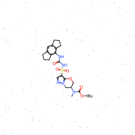 CN(C(=O)OC(C)(C)C)[C@@H]1COc2c(S(=O)(=O)NC(=O)Nc3c4c(cc5c3CCC5)CCC4)cnn2C1